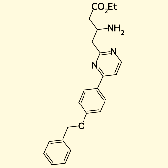 CCOC(=O)CC(N)Cc1nccc(-c2ccc(OCc3ccccc3)cc2)n1